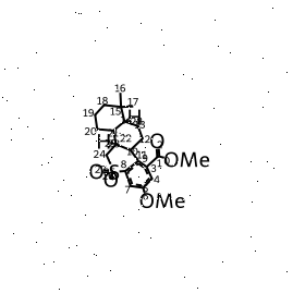 COC(=O)c1cc(OC)cc2c1[C@]1(C)CC[C@H]3C(C)(C)CCC[C@]3(C)[C@H]1CS2(=O)=O